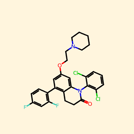 O=C1CCc2c(-c3ccc(F)cc3F)cc(OCCN3CCCCC3)cc2N1c1c(Cl)cccc1Cl